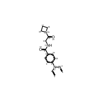 C=CN(N=C)c1ccc(C(=O)NCC(=O)N2CCC2)cc1